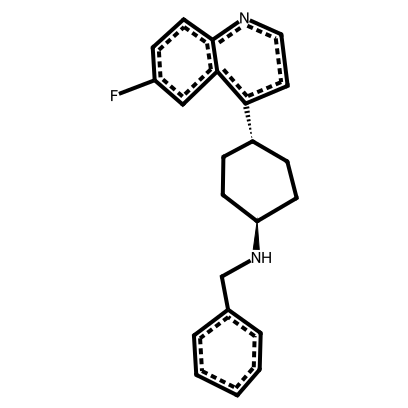 Fc1ccc2nccc([C@H]3CC[C@H](NCc4ccccc4)CC3)c2c1